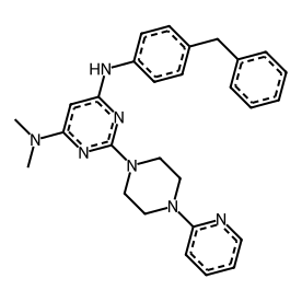 CN(C)c1cc(Nc2ccc(Cc3ccccc3)cc2)nc(N2CCN(c3ccccn3)CC2)n1